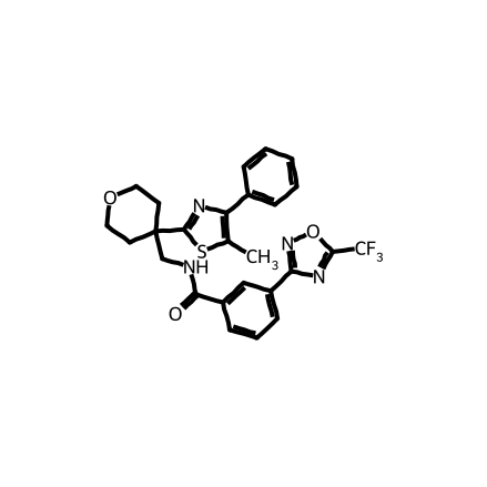 Cc1sc(C2(CNC(=O)c3cccc(-c4noc(C(F)(F)F)n4)c3)CCOCC2)nc1-c1ccccc1